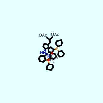 CC(=O)OCC(=CC1CCC(NC(c2ccccc2P(C2CCCCC2)C2CCCCC2)([C@@H]2CCC(P(C3CCCCC3)C3CCCCC3)C2)N(C)C)C1)COC(C)=O